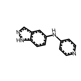 c1cc(Nc2ccc3[nH]ncc3c2)ccn1